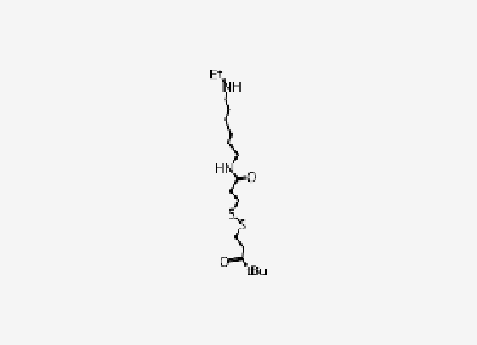 CCNCCCCCCNC(=O)CCSSCCC(=O)C(C)(C)C